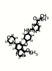 CNC(=O)c1ccnc(NC2CCC(Oc3cc(N4CCOCC4)cc4ncnc(OC)c34)CC2)n1